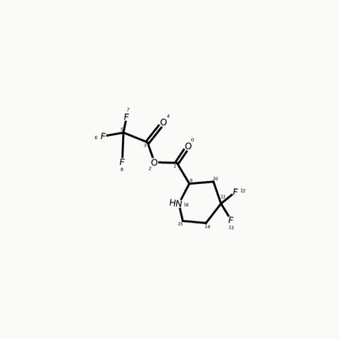 O=C(OC(=O)C(F)(F)F)C1CC(F)(F)CCN1